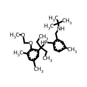 CCC(CC)(Pc1ccc(C)cc1CNC(C)(C)C)c1cc(C)cc(C)c1OCOC